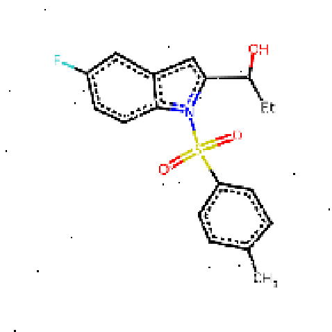 CCC(O)c1cc2cc(F)ccc2n1S(=O)(=O)c1ccc(C)cc1